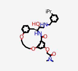 CC(C)c1cccc(CNC[C@@H](O)[C@@H]2Cc3cccc(c3)OCCCCOc3cc(OCC(=O)N(C)C)cc(c3)C(=O)N2)c1